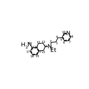 CCN(CCCc1cccnc1)C1CCc2c(N)cccc2C1